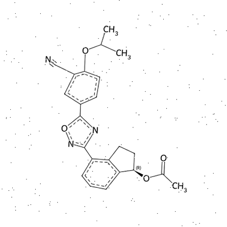 CC(=O)O[C@@H]1CCc2c(-c3noc(-c4ccc(OC(C)C)c(C#N)c4)n3)cccc21